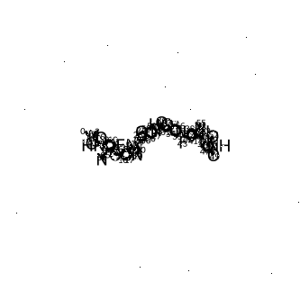 CCN(C)S(=O)(=O)Nc1ccc(F)c(Oc2ccc3ncc([C@H]4COC5(CCN(C(=O)CC6(O)CCN(c7cc8c(cc7F)c(N7CCC(=O)NC7=O)nn8C)CC6)CC5)C4)nc3c2)c1C#N